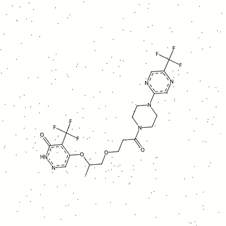 CC(COCCC(=O)N1CCN(c2cnc(C(F)(F)F)cn2)CC1)Oc1cn[nH]c(=O)c1C(F)(F)F